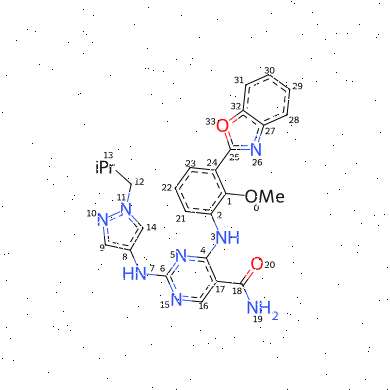 COc1c(Nc2nc(Nc3cnn(CC(C)C)c3)ncc2C(N)=O)cccc1-c1nc2ccccc2o1